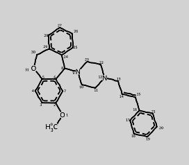 COc1ccc2c(c1)C(N1CCN(C/C=C/c3ccccc3)CC1)c1ccccc1CO2